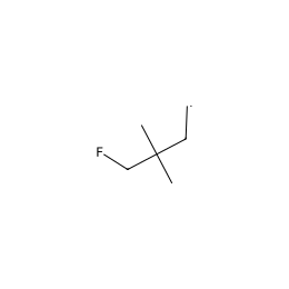 [CH2]CC(C)(C)CF